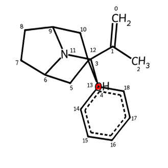 C=C(C)C1(O)CC2CCC(C1)N2Cc1ccccc1